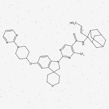 O=C(O)/C=C/C1(NC(=O)c2cnc(N3CC4(CCOCC4)c4cc(OC5CCN(c6ncccn6)CC5)ccc43)nc2C(F)(F)F)C2CC3CC(C2)CC1C3